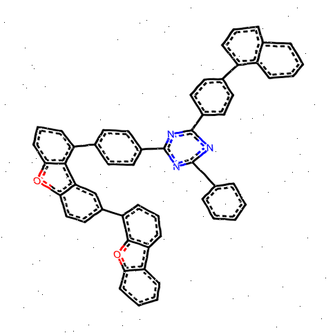 c1ccc(-c2nc(-c3ccc(-c4cccc5ccccc45)cc3)nc(-c3ccc(-c4cccc5oc6ccc(-c7cccc8c7oc7ccccc78)cc6c45)cc3)n2)cc1